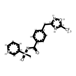 CS(=O)(=NC(=O)c1ccc(Cc2noc(C(F)(F)F)n2)cc1)c1cccnc1